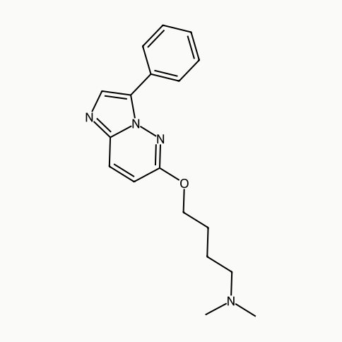 CN(C)CCCCOc1ccc2ncc(-c3ccccc3)n2n1